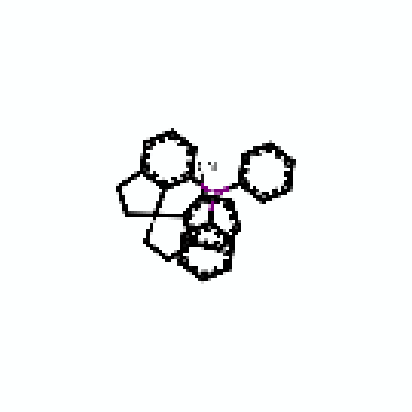 N#Cc1cccc2c1[C@]1(CC2)CCc2cccc(P(c3ccccc3)c3ccccc3)c21